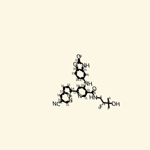 CC(C)(O)[C@H](F)CNC(=O)c1cnc(-c2ccc3cc(C#N)cnn23)cc1Nc1ccc2oc(=O)[nH]c2c1